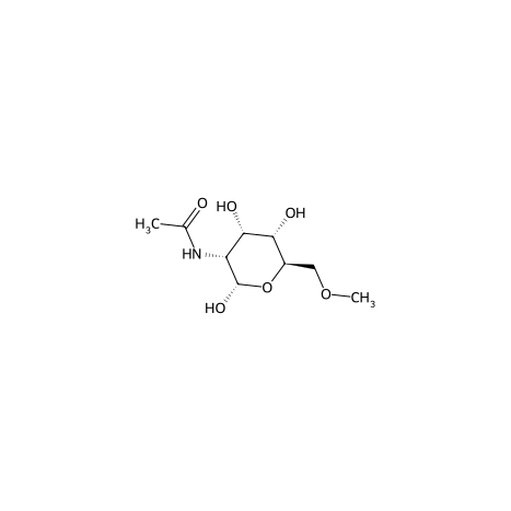 COC[C@H]1O[C@H](O)[C@H](NC(C)=O)[C@H](O)[C@@H]1O